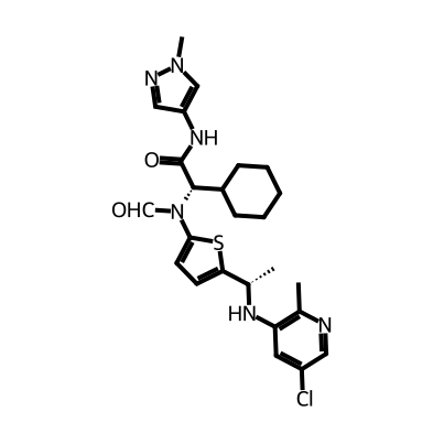 Cc1ncc(Cl)cc1N[C@@H](C)c1ccc(N(C=O)[C@H](C(=O)Nc2cnn(C)c2)C2CCCCC2)s1